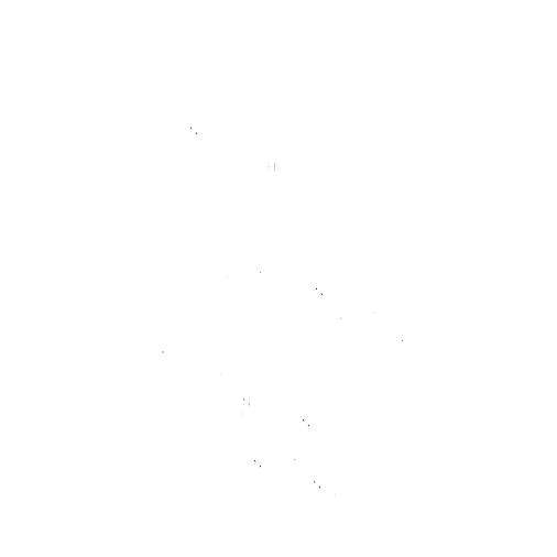 COC(=O)N1CC[C@@H]2[C@H]1CCC[C@]2(C#Cc1cccc(C)c1)OC(=O)C(CCC(NC(=N)N)NC(=O)OC(C)(C)C)NC(=O)OC(C)(C)C